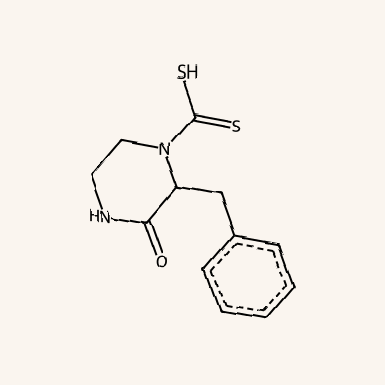 O=C1NCCN(C(=S)S)C1Cc1ccccc1